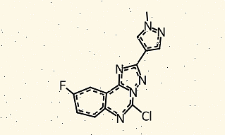 Cn1cc(-c2nc3c4cc(F)ccc4nc(Cl)n3n2)cn1